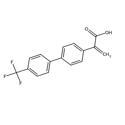 C=C(C(=O)O)c1ccc(-c2ccc(C(F)(F)F)cc2)cc1